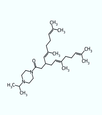 CC(C)=CCC/C(C)=C/CC(/C=C(\C)CCC=C(C)C)CC(=O)N1CCN(C(C)C)CC1